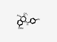 COc1ccc2c(c1)[C@H](Nc1ccc(C(C)=O)cc1)C[C@H](C)N2C(C)=O